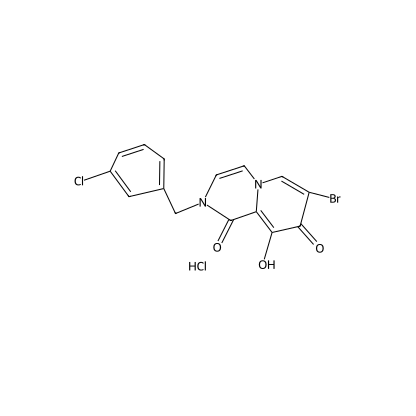 Cl.O=c1c(Br)cn2ccn(Cc3cccc(Cl)c3)c(=O)c2c1O